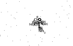 Nc1nnc(SCc2nonc2/C(=N/O)Nc2ccc(F)c(Cl)c2)s1.O=C(O)C(F)(F)F